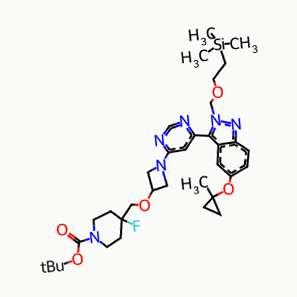 CC(C)(C)OC(=O)N1CCC(F)(COC2CN(c3cc(-c4c5cc(OC6(C)CC6)ccc5nn4COCC[Si](C)(C)C)ncn3)C2)CC1